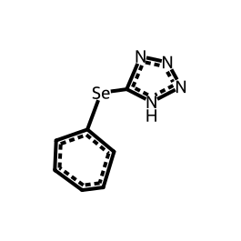 c1ccc([Se]c2nnn[nH]2)cc1